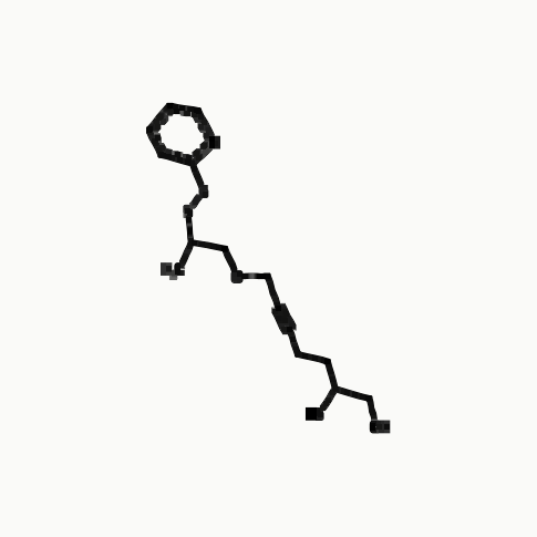 CC(COCC#CCCC(S)CO)SSc1ccccn1